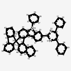 c1ccc(-c2cc(-c3ccccc3)nc(-c3ccc4c5c6c(ccc5n(-c5ccccc5)c4c3)C3(c4ccccc4-c4ccccc43)c3ccc4ccccc4c3-6)n2)cc1